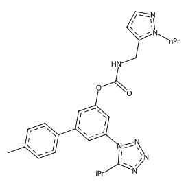 CCCn1nccc1CNC(=O)Oc1cc(-c2ccc(C)cc2)cc(-n2nnnc2C(C)C)c1